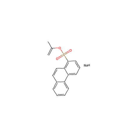 C=C(C)OS(=O)(=O)c1cccc2c1ccc1ccccc12.[NaH]